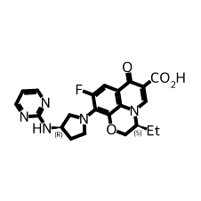 CC[C@H]1COc2c(N3CC[C@@H](Nc4ncccn4)C3)c(F)cc3c(=O)c(C(=O)O)cn1c23